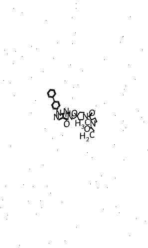 C=CC(=O)N1CC[C@]1(C)C(=O)N1CCC(O)(Cn2cnc3c(cnn3-c3ccc(-c4ccccc4)cc3)c2=O)CC1